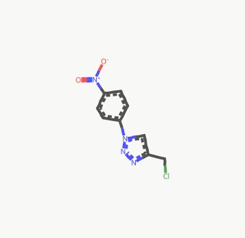 O=[N+]([O-])c1ccc(-n2cc(CCl)nn2)cc1